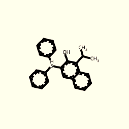 CC(C)c1c(O)c([SH](c2ccccc2)c2ccccc2)cc2ccccc12